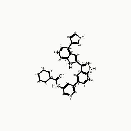 O=C(Nc1cncc(-c2cnc3[nH]nc(-c4cc5c(-c6ccsc6)cncc5[nH]4)c3c2)c1)C1CCCCC1